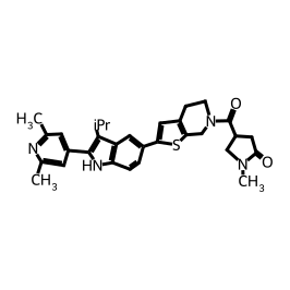 Cc1cc(-c2[nH]c3ccc(-c4cc5c(s4)CN(C(=O)C4CC(=O)N(C)C4)CC5)cc3c2C(C)C)cc(C)n1